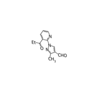 CCC(=O)c1cccnc1-n1cc(C=O)c(C)n1